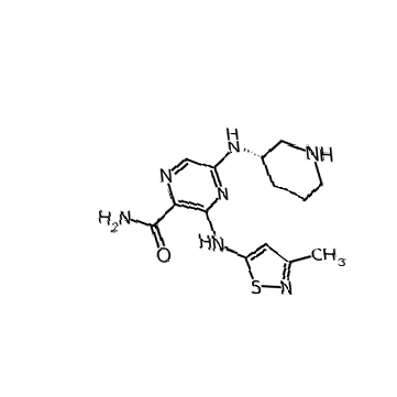 Cc1cc(Nc2nc(N[C@H]3CCCNC3)cnc2C(N)=O)sn1